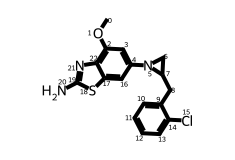 COc1cc(N2CC2Cc2ccccc2Cl)cc2sc(N)nc12